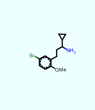 COc1ccc(Br)cc1CCC(N)C1CC1